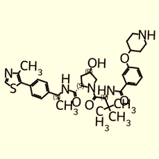 Cc1ncsc1-c1ccc([C@H](C)NC(=O)[C@@H]2C[C@@H](O)CN2C(=O)[C@@H](NC(=O)c2cccc(OC3CCNCC3)c2)C(C)(C)C)cc1